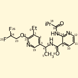 CCc1cc(C(C)NC(=O)c2cccnc2NC(=O)C(C)C)cnc1OCC(F)F